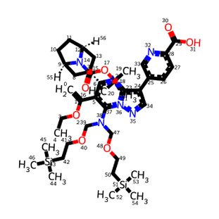 C=C(OCC)c1c([C@@H]2C[C@H]3CC[C@@H](C2)N3C(=O)OC(C)(C)C)nc2c(-c3ccc(C(=O)O)nc3)cnn2c1N(COCC[Si](C)(C)C)COCC[Si](C)(C)C